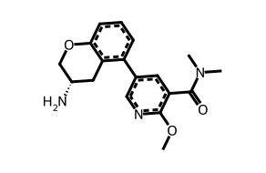 COc1ncc(-c2cccc3c2C[C@H](N)CO3)cc1C(=O)N(C)C